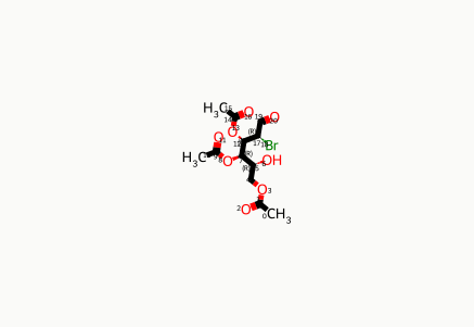 CC(=O)OC[C@@H](O)[C@@H](OC(C)=O)[C@H](OC(C)=O)[C@@H](Br)C=O